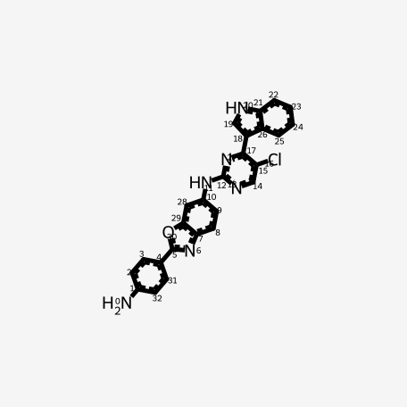 Nc1ccc(-c2nc3ccc(Nc4ncc(Cl)c(-c5c[nH]c6ccccc56)n4)cc3o2)cc1